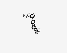 O=S1(=O)CC2(CCN([C@H]3CC[C@@H](c4cncc(C(F)(F)F)c4)CC3)C2)C1